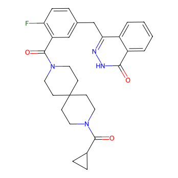 O=C(c1cc(Cc2n[nH]c(=O)c3ccccc23)ccc1F)N1CCC2(CC1)CCN(C(=O)C1CC1)CC2